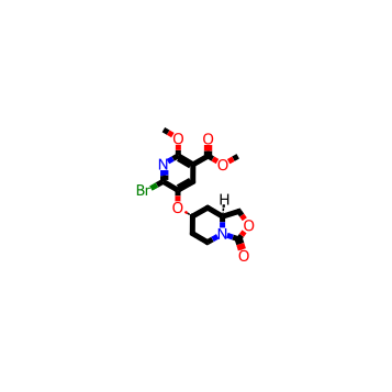 COC(=O)c1cc(O[C@H]2CCN3C(=O)OC[C@@H]3C2)c(Br)nc1OC